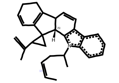 C=C(C)C1CC12C1=C(CCC=C1)C1C=Cc3c(n(C(C)C/C=C\C)c4ccccc34)[C@@H]12